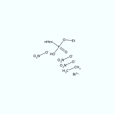 CC.CCCCCCP(=O)(O)OCC.O=[N+]([O-])[O-].O=[N+]([O-])[O-].O=[N+]([O-])[O-].[Bi+3]